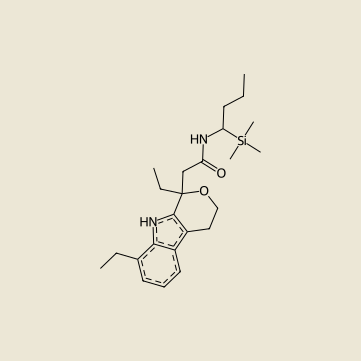 CCCC(NC(=O)CC1(CC)OCCc2c1[nH]c1c(CC)cccc21)[Si](C)(C)C